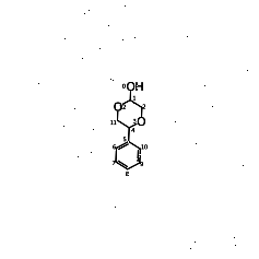 OC1COC(c2ccccc2)CO1